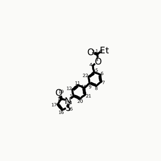 CCC(=O)OCc1cccc(-c2ccc(-n3sccc3=O)cc2)c1